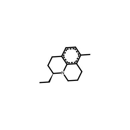 CC[C@H]1CCc2ccc(C)c3c2N1CCC3